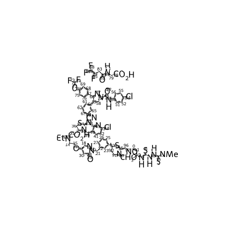 C=CC(C)NC(=S)NNC(=S)NC.CCN(CCOc1cnn(Cc2ccccc2)c(=O)c1)C(=O)O.N#CN=C1SCCN1Cc1ccc(Cl)nc1.O=C(Nc1ccc(Cl)cc1)N1CC(c2ccccc2)C(c2ccc(OC(F)F)cc2)=N1.O=C(O)CNC(=O)CC(F)=C(F)F.O=CN1CCCSC1=C[N+](=O)[O-]